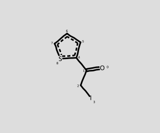 O=C(CI)c1cccs1